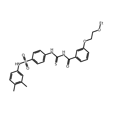 CCOCCOc1cccc(C(=O)NC(=S)Nc2ccc(S(=O)(=O)Nc3ccc(C)c(C)c3)cc2)c1